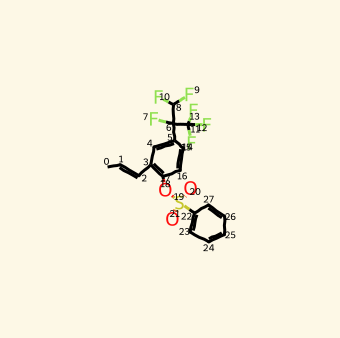 CC=Cc1cc(C(F)(C(F)F)C(F)(F)F)ccc1OS(=O)(=O)c1ccccc1